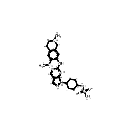 COc1cc2c(cc1Nc1ncc3cnn(C4CCC(NS(C)(=O)=O)CC4)c3n1)CN(C)CC2